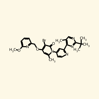 COc1cccc(COc2cc(C)n(-c3ccnc(-c4nc(C(C)(C)C)ncc4C)c3)c(=O)c2Br)n1